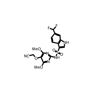 COc1nc(NS(=O)(=O)c2c[nH]c3cc(C(F)F)ccc23)nc(OC)c1OCC#N